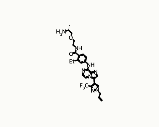 C=CCn1cc(-c2cnc3c(Nc4ccc(C(=O)NCCOC[C@@H](C)N)c(CC)c4)nccn23)c(C(F)(F)F)n1